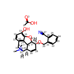 CC(=O)O.CN1CC[C@]23c4c5ccc(O)c4O[C@H]2[C@@H](OCc2ccccc2C#N)C=C[C@H]3[C@H]1C5